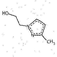 Cc1[c]cn(CCO)n1